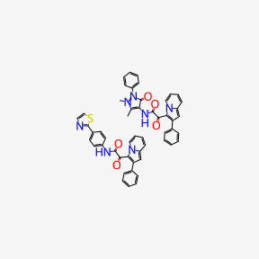 Cc1c(NC(=O)C(=O)c2c(-c3ccccc3)cc3ccccn23)c(=O)n(-c2ccccc2)n1C.O=C(Nc1ccc(-c2nccs2)cc1)C(=O)c1c(-c2ccccc2)cc2ccccn12